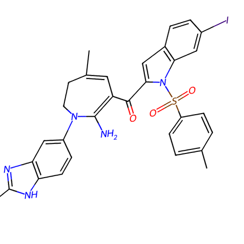 CC1=CC(C(=O)c2cc3ccc(I)cc3n2S(=O)(=O)c2ccc(C)cc2)=C(N)N(c2ccc3[nH]c(C)nc3c2)CC1